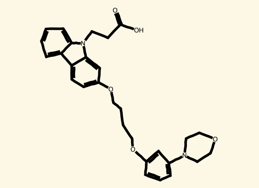 O=C(O)CCn1c2ccccc2c2ccc(OCCCCOc3cccc(N4CCOCC4)c3)cc21